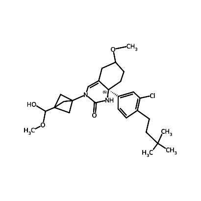 COC1CC[C@@]2(c3ccc(CCC(C)(C)C)c(Cl)c3)NC(=O)N(C34CC(C(O)OC)(C3)C4)C=C2C1